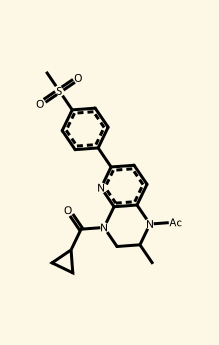 CC(=O)N1c2ccc(-c3ccc(S(C)(=O)=O)cc3)nc2N(C(=O)C2CC2)CC1C